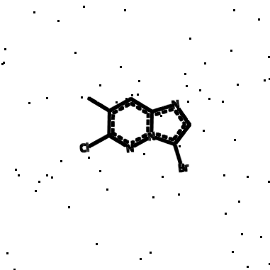 Cc1cc2ncc(Br)n2nc1Cl